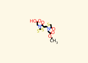 CCOC(=O)CN1C(=O)CS/C1=C1/SC(=S)N(CC(=O)O)C1=O